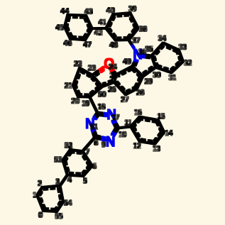 c1ccc(-c2ccc(-c3nc(-c4ccccc4)nc(-c4cccc5oc6c(ccc7c8ccccc8n(-c8cccc(-c9ccccc9)c8)c76)c45)n3)cc2)cc1